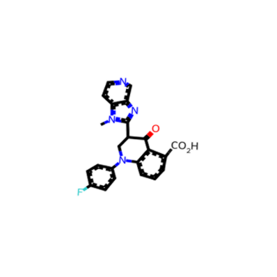 Cn1c(C2CN(c3ccc(F)cc3)c3cccc(C(=O)O)c3C2=O)nc2cnccc21